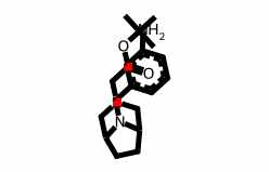 CC(C)(C)OC(=O)CN1CC2CCC(C1)N2Cc1cccc(N)c1